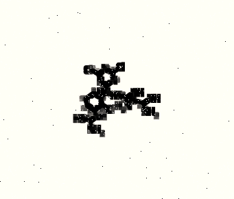 Clc1nc(Cl)nc(Nc2ccccc2Cl)n1.N=C(N)S.N=C(N)S.N=C(N)S